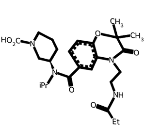 CCC(=O)NCCN1C(=O)C(C)(C)Oc2ccc(C(=O)N(C(C)C)[C@@H]3CCCN(C(=O)O)C3)cc21